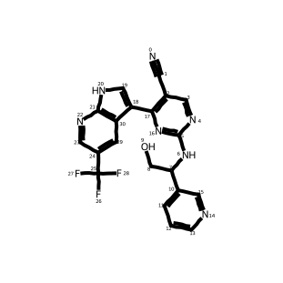 N#Cc1cnc(NC(CO)c2cccnc2)nc1-c1c[nH]c2ncc(C(F)(F)F)cc12